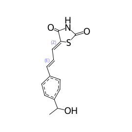 CC(O)c1ccc(/C=C/C=C2\SC(=O)NC2=O)cc1